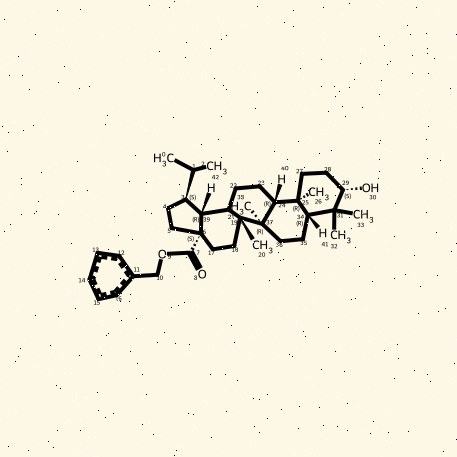 CC(C)[C@@H]1CC[C@]2(C(=O)OCc3ccccc3)CC[C@]3(C)C(CC[C@@H]4[C@@]5(C)CC[C@H](O)C(C)(C)[C@@H]5CC[C@]43C)[C@@H]12